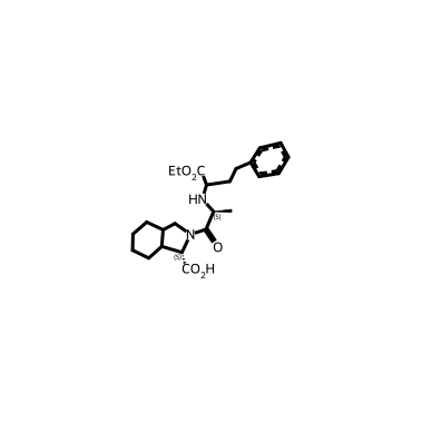 CCOC(=O)C(CCc1ccccc1)N[C@@H](C)C(=O)N1CC2CCCCC2[C@H]1C(=O)O